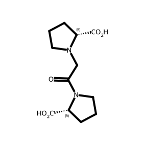 O=C(O)[C@H]1CCCN1CC(=O)N1CCC[C@@H]1C(=O)O